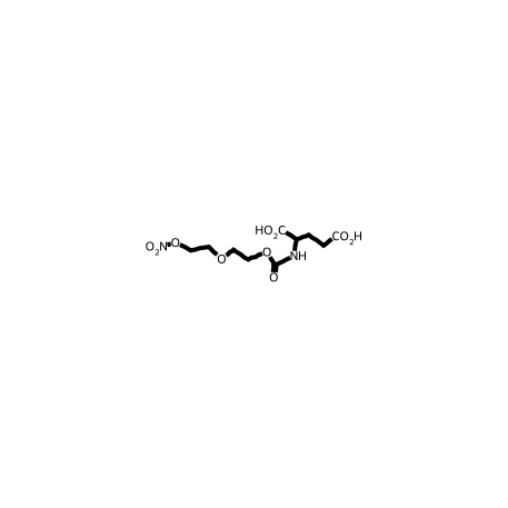 O=C(O)CCC(NC(=O)OCCOCCO[N+](=O)[O-])C(=O)O